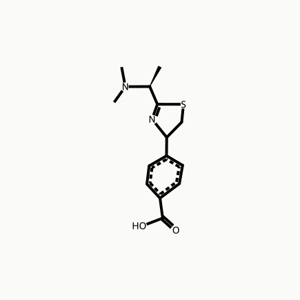 C[C@@H](C1=NC(c2ccc(C(=O)O)cc2)CS1)N(C)C